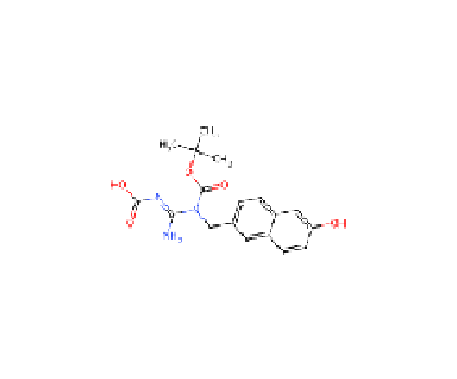 CC(C)(C)OC(=O)N(Cc1ccc2cc(O)ccc2c1)/C(N)=N/C(=O)O